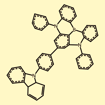 C1=CC2c3ccccc3N(c3ccc(-c4cc5c6c(c4)N(c4ccccc4)c4ccccc4B6c4ccccc4N5c4ccccc4)cc3)C2C=C1